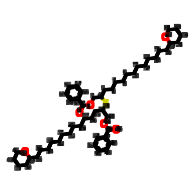 O=C(OCC(CCCCCCCCCCCCC1CCCCO1)SC(CCCCCCCCCCCCC1CCCCO1)COC(=O)c1ccccc1)c1ccccc1